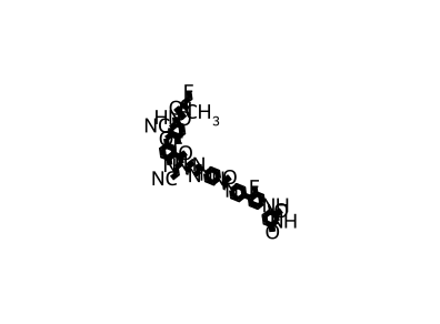 CN(CCF)S(=O)(=O)Nc1ccc(F)c(Oc2ccc3nc(CC#N)n(-c4cnc(N5CCN(C(=O)CN6CCC(c7ccc(N[C@@H]8CCC(=O)NC8=O)cc7F)CC6)CC5)nc4)c(=O)c3c2)c1C#N